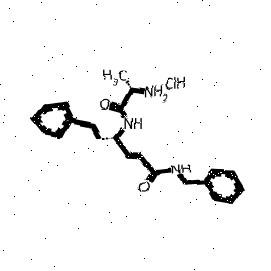 C[C@H](N)C(=O)N[C@H](/C=C/C(=O)NCc1ccccc1)CCc1ccccc1.Cl